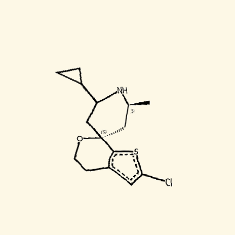 C[C@H]1C[C@@]2(CC(C3CC3)N1)OCCc1cc(Cl)sc12